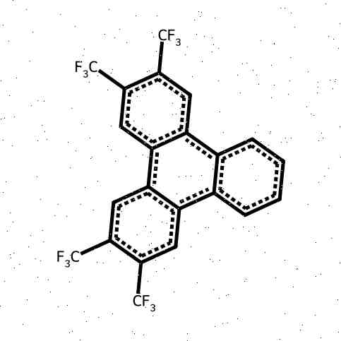 FC(F)(F)c1cc2c3ccccc3c3cc(C(F)(F)F)c(C(F)(F)F)cc3c2cc1C(F)(F)F